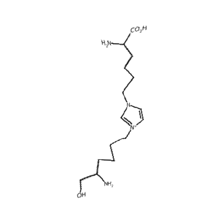 NC(CO)CCCC[n+]1ccn(CCCCC(N)C(=O)O)c1